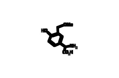 COCc1cc(C(N)C(=O)O)ccc1O